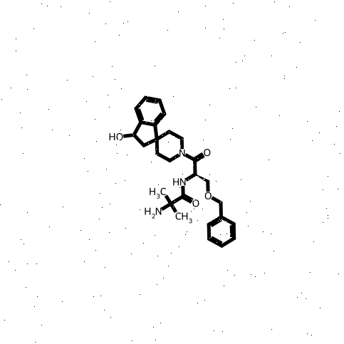 CC(C)(N)C(=O)N[C@H](COCc1ccccc1)C(=O)N1CCC2(CC1)CC(O)c1ccccc12